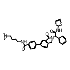 CN(C)CCCCNC(=O)c1ccc(-c2ccc3c(c2)C(=O)N([C@@H](C(=O)Nc2nccs2)c2ccccc2)C3)cc1